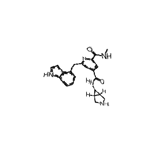 CNC(=O)c1cc(C(=O)N[C@H]2[C@@H]3CNC[C@@H]32)cc(Cc2cccc3[nH]ccc23)n1